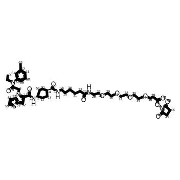 CCN(C(=O)Cn1c(C(=O)N[C@H]2CC[C@H](C(=O)NCCCCCC(=O)NCCOCCOCCOCCOCCC(=O)ON3C(=O)CCC3=O)CC2)cc2sccc21)c1cccc(C)c1